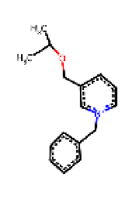 CC(C)OCc1ccc[n+](Cc2ccccc2)c1